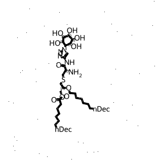 CCCCCCCCCCCCCCCCC(=O)OC[C@H](CSC[C@@H](N)C(=O)Nc1cn(C2[C@H](O)[C@H](O)[C@@H](O)[C@H](O)[C@H]2O)nn1)OC(=O)CCCCCCCCCCCCCCCC